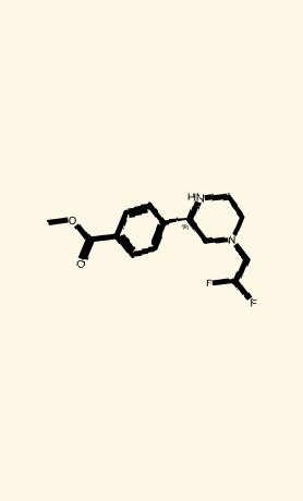 COC(=O)c1ccc([C@@H]2CN(CC(F)F)CCN2)cc1